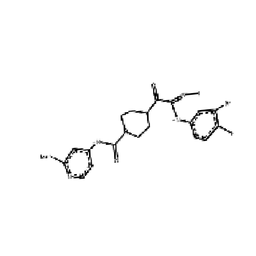 CNc1cc(NC(=O)N2CCC(C(=O)/C(=N/I)Nc3ccc(F)c(Br)c3)CC2)ccn1